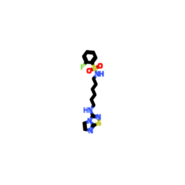 O=S(=O)(NCCCCCCNc1nsc2nccn12)c1ccccc1F